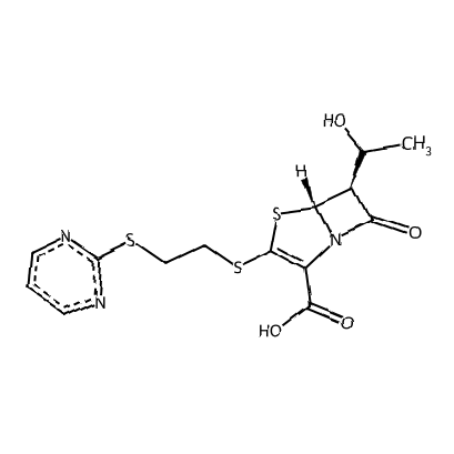 CC(O)[C@H]1C(=O)N2C(C(=O)O)=C(SCCSc3ncccn3)S[C@H]12